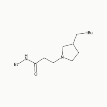 CCNC(=O)CCN1CCC(CC(C)(C)C)C1